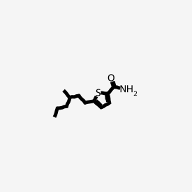 CCCC(C)CCc1ccc(C(N)=O)s1